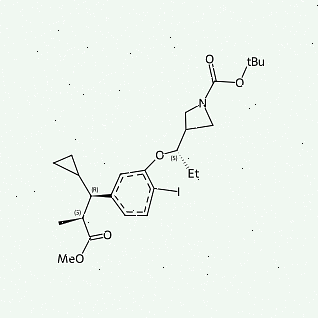 CC[C@H](Oc1cc([C@H](C2CC2)[C@H](C)C(=O)OC)ccc1I)C1CN(C(=O)OC(C)(C)C)C1